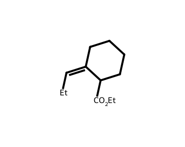 CC/C=C1/CCCCC1C(=O)OCC